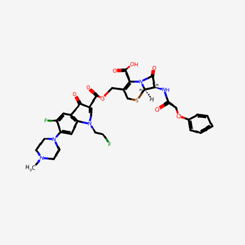 CN1CCN(c2cc3c(cc2F)c(=O)c(C(=O)OCC2=C(C(=O)O)N4C(=O)[C@@H](NC(=O)COc5ccccc5)[C@H]4SC2)cn3CCF)CC1